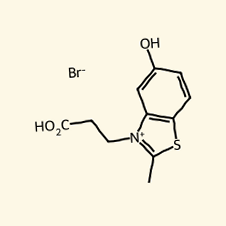 Cc1sc2ccc(O)cc2[n+]1CCC(=O)O.[Br-]